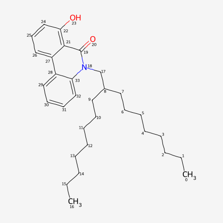 CCCCCCCCC(CCCCCCCC)Cn1c(=O)c2c(O)cccc2c2ccccc21